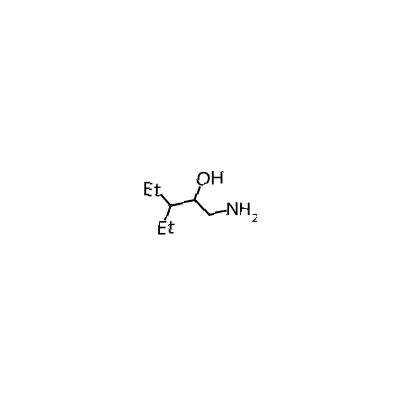 CCC(CC)C(O)CN